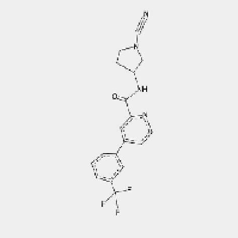 N#CN1CCC(NC(=O)c2cc(-c3cccc(C(F)(F)F)c3)ccn2)C1